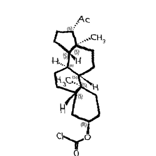 CC(=O)[C@H]1CC[C@H]2[C@@H]3CC[C@H]4C[C@H](OC(=O)Cl)CC[C@]4(C)[C@H]3CC[C@]12C